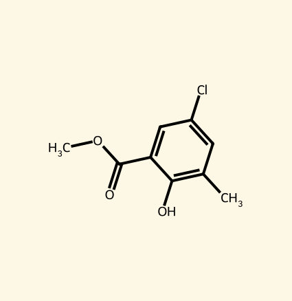 COC(=O)c1cc(Cl)cc(C)c1O